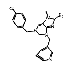 CCC1N=C2C(=CN(Cc3ccc(Cl)cc3)CN2Cc2cccnc2)N1C